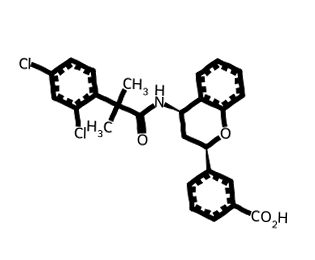 CC(C)(C(=O)N[C@@H]1C[C@H](c2cccc(C(=O)O)c2)Oc2ccccc21)c1ccc(Cl)cc1Cl